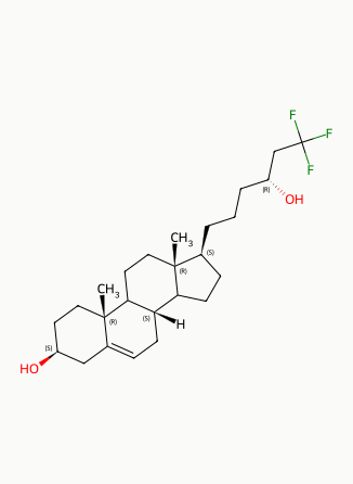 C[C@]12CC[C@H](O)CC1=CC[C@@H]1C2CC[C@@]2(C)C1CC[C@@H]2CCC[C@@H](O)CC(F)(F)F